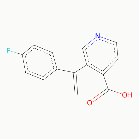 C=C(c1ccc(F)cc1)c1cnccc1C(=O)O